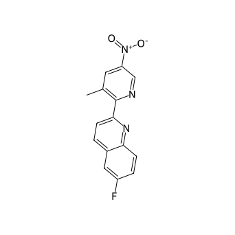 Cc1cc([N+](=O)[O-])cnc1-c1ccc2cc(F)ccc2n1